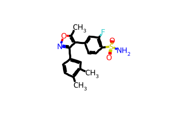 Cc1ccc(-c2noc(C)c2-c2ccc(S(N)(=O)=O)c(F)c2)cc1C